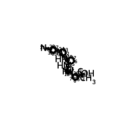 CC(C)(O)c1cccc(-c2cnc(N[C@@H]3CCCC[C@H]3N[C@H]3CCCN(c4ccc(C#N)cc4)C3)o2)c1